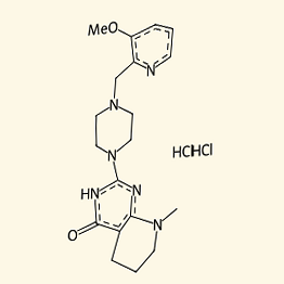 COc1cccnc1CN1CCN(c2nc3c(c(=O)[nH]2)CCCN3C)CC1.Cl.Cl